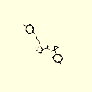 O=C(O)c1ccc(C2(NC(=O)c3cnnn3CCOc3ccc(F)cc3)CC2)cc1